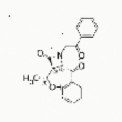 C[C@@H](O)[C@H]1C(=O)N(CC(=O)c2ccccc2)[C@@H]1C(=O)c1ccccc1